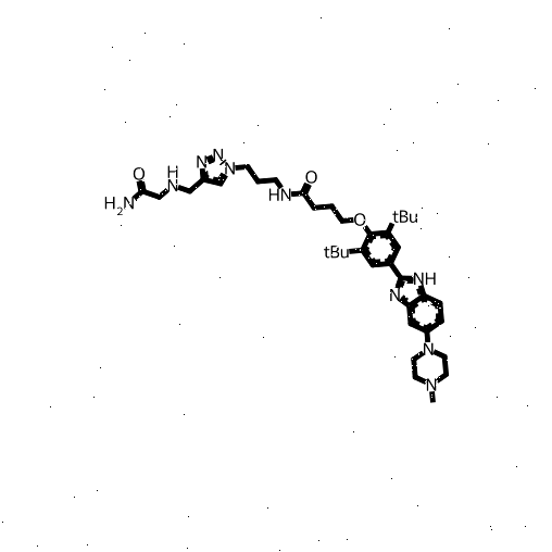 CN1CCN(c2ccc3[nH]c(-c4cc(C(C)(C)C)c(OCCCC(=O)NCCCn5cc(CNCC(N)=O)nn5)c(C(C)(C)C)c4)nc3c2)CC1